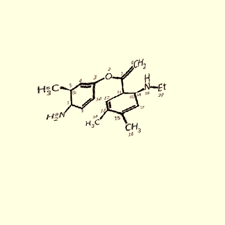 C=C(OC1=C[C@H](C)C(N)C=C1)C1C=C(C)C(C)=C[C@@H]1NCC